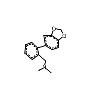 CN(C)Cc1ccccc1-c1ccc2c(c1)OCO2